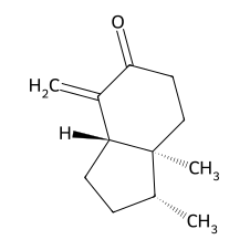 C=C1C(=O)CC[C@@]2(C)[C@H](C)CC[C@H]12